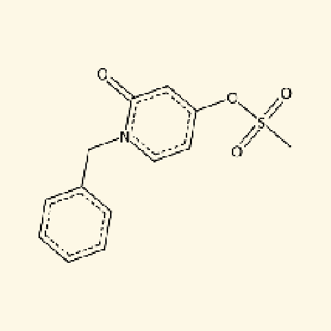 CS(=O)(=O)Oc1ccn(Cc2ccccc2)c(=O)c1